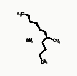 CCCCCCC(C)CCCC.[BiH3]